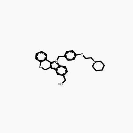 OCc1ccc2c(c1)c1c(n2Cc2ccc(OCCN3CCCCC3)cc2)-c2ccccc2OC1